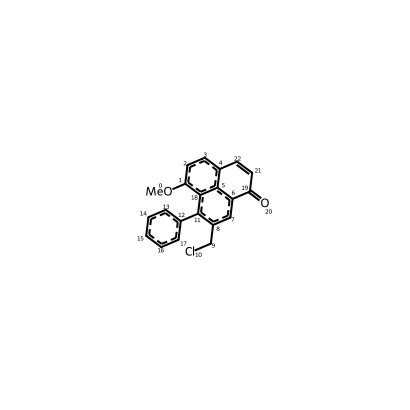 COc1ccc2c3c(cc(CCl)c(-c4ccccc4)c13)C(=O)C=C2